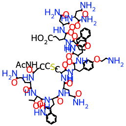 CC(=O)NC1CCSCC(C(=O)NC(Cc2ccc(OCCN)cc2)C(=O)NC(Cc2ccc3ccccc3c2)C(=O)NC2(C(=O)NC(CCC(=O)O)C(=O)NC(CC(N)=O)C(=O)NC(CC(N)=O)C(N)=O)CCOCC2)NC(=O)C(CCC(N)=O)NC(=O)C(Cc2c[nH]c3ccccc23)NC(=O)C(C(C)O)NC(=O)C(CCC(N)=O)NC1=O